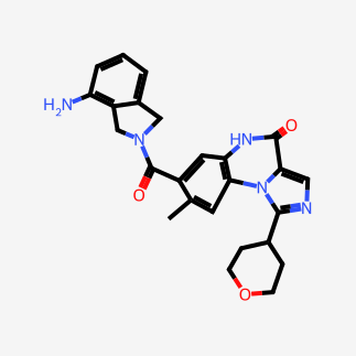 Cc1cc2c(cc1C(=O)N1Cc3cccc(N)c3C1)[nH]c(=O)c1cnc(C3CCOCC3)n12